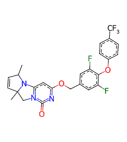 CC1C=CC2(C)Cn3c(cc(OCc4cc(F)c(Oc5ccc(C(F)(F)F)cc5)c(F)c4)nc3=O)N12